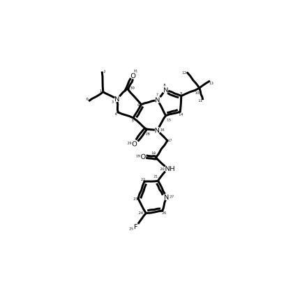 CC(C)N1Cc2c(n3nc(C(C)(C)C)cc3n(CC(=O)Nc3ccc(F)cn3)c2=O)C1=O